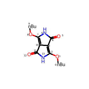 CCCCOC1=C2C(=O)NC(OCCCC)=C2C(=O)N1